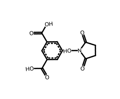 O=C(O)c1cccc(C(=O)O)c1.O=C1CCC(=O)N1O